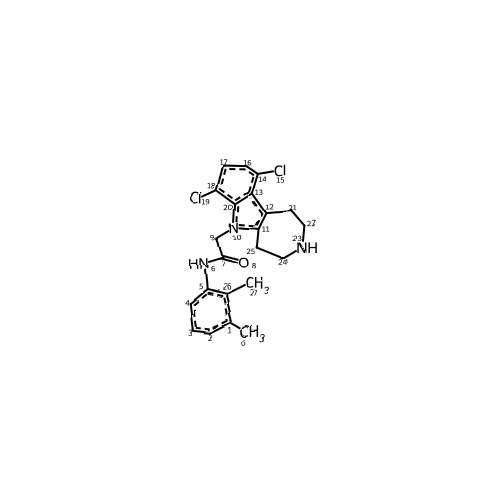 Cc1cccc(NC(=O)Cn2c3c(c4c(Cl)ccc(Cl)c42)CCNCC3)c1C